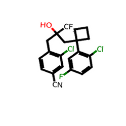 N#Cc1ccc(CC(O)(CC2(c3cc(F)ccc3Cl)CCC2)C(F)(F)F)c(Cl)c1